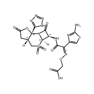 Nc1nc(/C(=N/OCC(=O)O)C(=O)N[C@@H]2C(=O)N3[C@@H]2S(=O)(=O)C[C@@H]2CC(=O)O[C@@]23c2nnn[nH]2)cs1